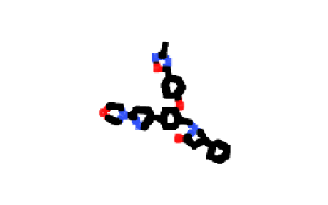 Cc1noc(-c2ccc(Oc3cc(-c4ccc(N5CCOCC5)nc4)ccc3CN3CC(c4ccccc4)CC3=O)cc2)n1